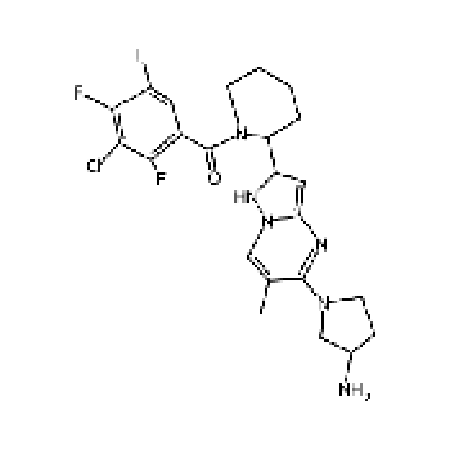 CC1=CN2NC(C3CCCCN3C(=O)c3cc(F)c(F)c(Cl)c3F)C=C2N=C1N1CCC(N)C1